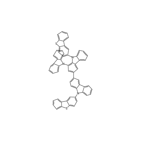 c1ccc2c(c1)sc1ccc(-n3c4ccccc4c4cc(-c5cc(-n6c7ccccc7c7ccccc76)c6c(c5)c5ccccc5n6-c5ccc6sc7ccccc7c6c5)ccc43)cc12